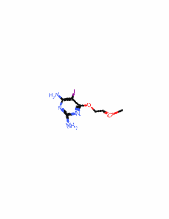 COCCOc1nc(N)nc(N)c1I